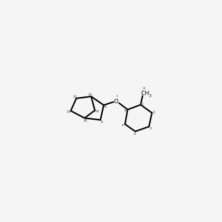 CC1CCCCC1OC1CC2CCC1C2